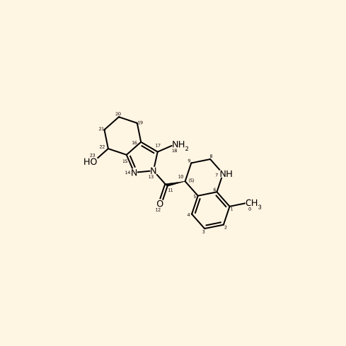 Cc1cccc2c1NCC[C@@H]2C(=O)n1nc2c(c1N)CCCC2O